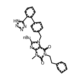 CCCCc1nc2c(c(=O)n(CCc3ccccc3)c(=O)n2C)n1Cc1ccc(-c2ccccc2-c2nnn[nH]2)cc1